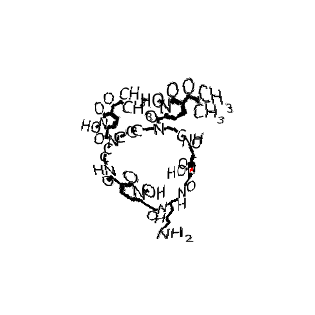 CC(C)C(=O)c1ccc(C(=O)N2CCCCN(C(=O)c3ccc(C(=O)C(C)C)c(=O)n3O)CCCNC(=O)c3ccc(n(O)c3=O)C(=O)NC(CCCCN)CNC(=O)c3ccc(c(=O)n3O)C(=O)NCCC2)n(O)c1=O